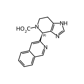 O=C(O)N1CCc2[nH]cnc2[C@H]1c1cc2ccccc2cn1